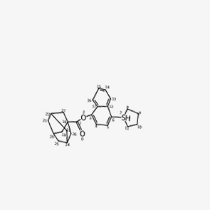 O=C(Oc1ccc([SH]2CCCC2)c2ccccc12)C12CC3CC(CC(C3)C1)C2